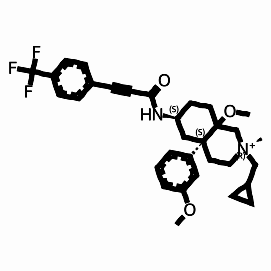 COc1cccc([C@@]23CC[N@+](C)(CC4CC4)CC2(OC)CC[C@H](NC(=O)C#Cc2ccc(C(F)(F)F)cc2)C3)c1